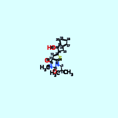 CC(C)Cn1c(=O)n(C)c(=O)c2cc(C3Cc4ccccc4C3O)sc21